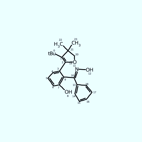 CC(C)(C)C1=C(c2cccc(O)c2C(=NO)c2ccccc2)OCC1(C)C